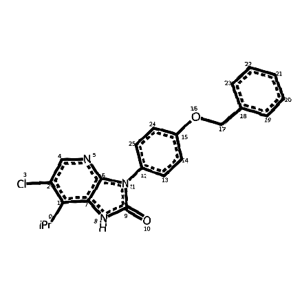 CC(C)c1c(Cl)cnc2c1[nH]c(=O)n2-c1ccc(OCc2ccccc2)cc1